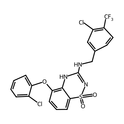 O=S1(=O)N=C(NCc2ccc(C(F)(F)F)c(Cl)c2)Nc2c(Oc3ccccc3Cl)cccc21